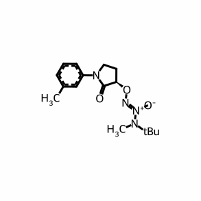 Cc1cccc(N2CC[C@@H](O/N=[N+](\[O-])N(C)C(C)(C)C)C2=O)c1